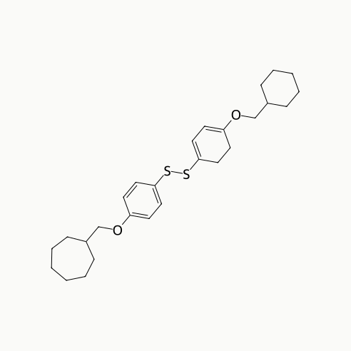 C1=C(OCC2CCCCC2)CCC(SSc2ccc(OCC3CCCCCC3)cc2)=C1